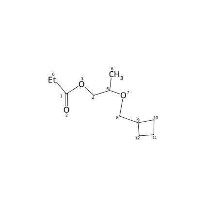 CCC(=O)OCC(C)OCC1CCC1